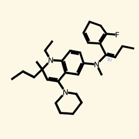 CC/C=C(\C1=C(F)CCC=C1)N(C)c1ccc2c(c1)C(N1CCCCC1)=CC(C)(CCC)N2CC